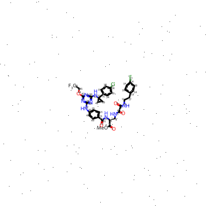 COC(=O)[C@H](CNC(=O)C(=O)NCCc1ccc(F)cc1)NC(=O)c1ccc(Nc2nc(NC3(c4ccc(Cl)cc4)CC3)nc(OCC(F)(F)F)n2)cc1